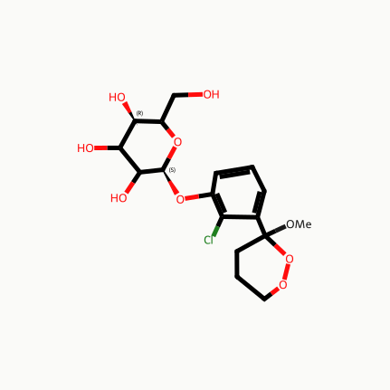 COC1(c2cccc(O[C@@H]3OC(CO)[C@H](O)C(O)C3O)c2Cl)CCCOO1